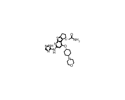 NC(=O)C[C@H]1CCc2sc3nc(Nc4ncn[nH]4)cc(O[C@H]4CC[C@H](N5CCOCC5)CC4)c3c21